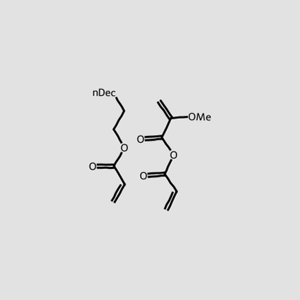 C=CC(=O)OC(=O)C(=C)OC.C=CC(=O)OCCCCCCCCCCCC